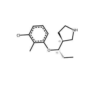 CC[C@H](Oc1cccc(Cl)c1C)[C@H]1CCNC1